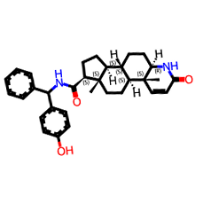 C[C@]12C=CC(=O)N[C@@H]1CC[C@@H]1[C@@H]2CC[C@]2(C)[C@@H](C(=O)NC(c3ccccc3)c3ccc(O)cc3)CC[C@@H]12